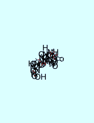 CC(C)C[C@H](NC(=O)[C@H](C)N(C)C(=O)[C@H](Cc1ccccc1)N(C)C(=O)CNC(=O)[C@H](C)NC(=O)[C@H](CC(C)C)N(C)C(=O)[C@H](CC(C)C)NC(=O)[C@H](C)N(C)C(=O)OCC1c2ccccc2-c2ccccc21)C(=O)NCC(=O)N(C)[C@@H](C(=O)N(C)[C@@H](CC(=O)O)C(=O)N(C)C)C(C)C